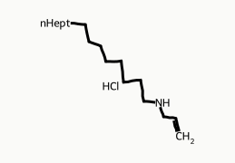 C=CCNCCCCCCCCCCCCCCC.Cl